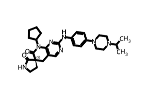 CC(C)N1CCN(c2ccc(Nc3ncc4c(n3)N(C3CCCC3)C(=O)[C@]3(CCNC3=O)C4)cc2)CC1